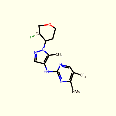 CNc1nc(Nc2cnn(C3CCOC[C@H]3F)c2C)ncc1C(F)(F)F